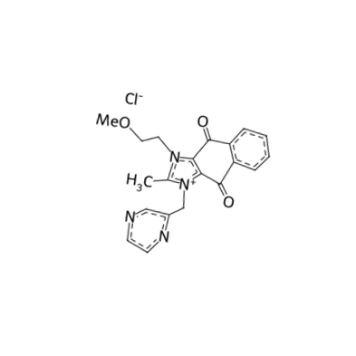 COCCn1c2c([n+](Cc3cnccn3)c1C)C(=O)c1ccccc1C2=O.[Cl-]